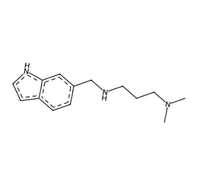 CN(C)CCCNCc1ccc2[c]c[nH]c2c1